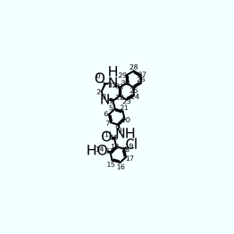 O=C1CN=C(c2ccc(NC(=O)c3c(O)cccc3Cl)cc2)c2ccc3ccccc3c2N1